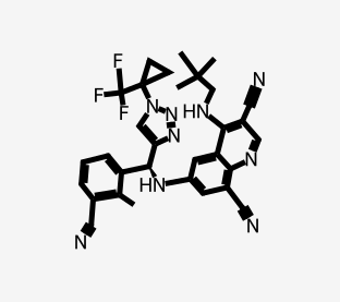 Cc1c(C#N)cccc1[C@H](Nc1cc(C#N)c2ncc(C#N)c(NCC(C)(C)C)c2c1)c1cn(C2(C(F)(F)F)CC2)nn1